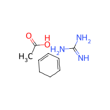 C1=CCCC=C1.CC(=O)O.N=C(N)N